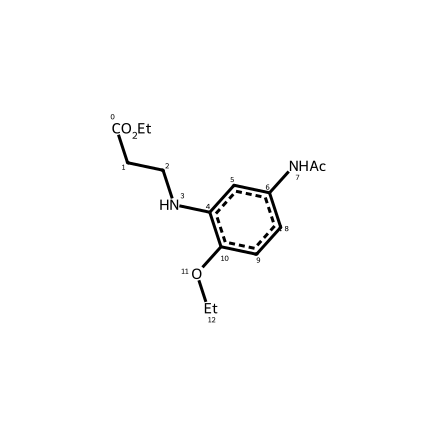 CCOC(=O)CCNc1cc(NC(C)=O)[c]cc1OCC